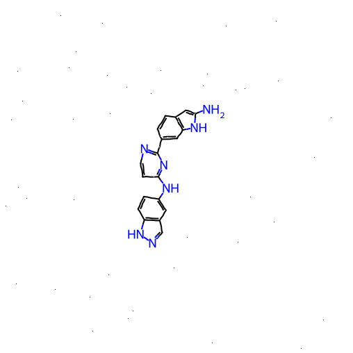 Nc1cc2ccc(-c3nccc(Nc4ccc5[nH]ncc5c4)n3)cc2[nH]1